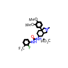 CC(=O)O.COc1ccc(C23CCC(NC(=O)Nc4cccc(C(F)(F)F)c4F)CC2CN(C)C3)cc1OC